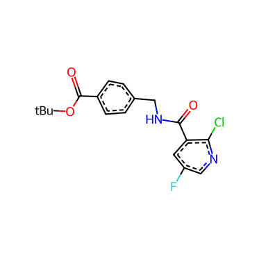 CC(C)(C)OC(=O)c1ccc(CNC(=O)c2cc(F)cnc2Cl)cc1